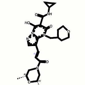 C[C@@H]1CN(C(=O)/C=C/c2cnn3c(O)c(C(=O)NC4CC4)c(=O)n(CC4CCOCC4)c23)C[C@H](C)O1